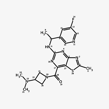 Cc1nc2nc(NC(C)c3cncc(F)c3)nc(C(=O)N3CC(N(C)C)C3)c2s1